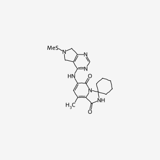 CSN1Cc2ncnc(Nc3cc(C)c4n(c3=O)C3(CCCCC3)NC4=O)c2C1